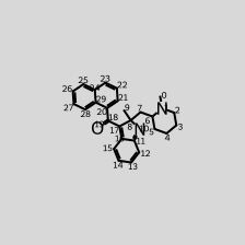 CN1CCCCC1CC1(C)N=c2ccccc2=C1C(=O)c1cccc2ccccc12